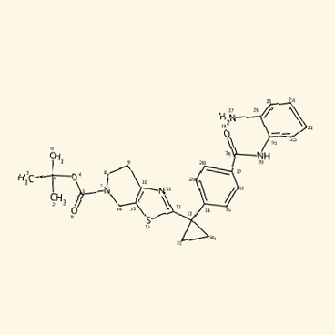 CC(C)(C)OC(=O)N1CCc2nc(C3(c4ccc(C(=O)Nc5ccccc5N)cc4)CC3)sc2C1